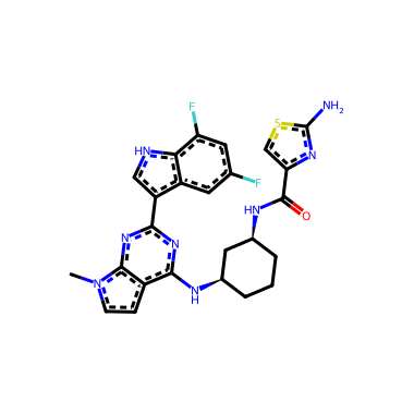 Cn1ccc2c(N[C@@H]3CCC[C@H](NC(=O)c4csc(N)n4)C3)nc(-c3c[nH]c4c(F)cc(F)cc34)nc21